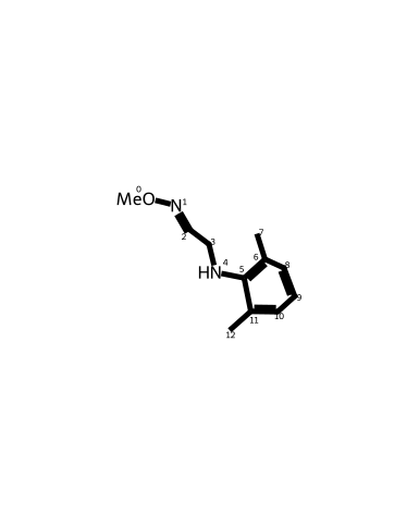 CON=CCNc1c(C)cccc1C